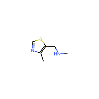 CNCc1scnc1C